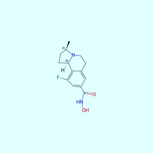 C[C@@H]1CC[C@@H]2c3c(F)cc(C(=O)NO)cc3CCN12